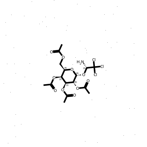 CC(=O)OC[C@H]1O[C@H](O[C@H](N)C(Cl)(Cl)Cl)[C@H](OC(C)=O)[C@@H](OC(C)=O)[C@H]1OC(C)=O